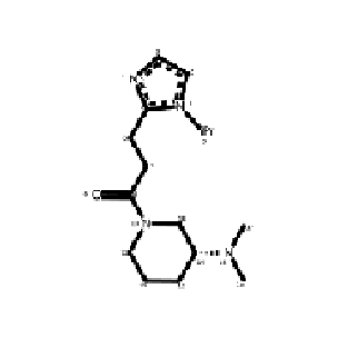 CC(C)n1ccnc1CCC(=O)N1CCC[C@@H](N(C)C)C1